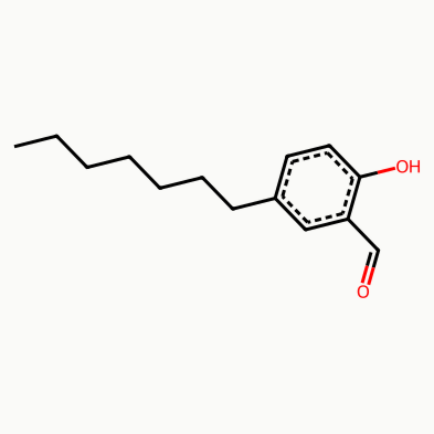 CCCCCCCc1ccc(O)c(C=O)c1